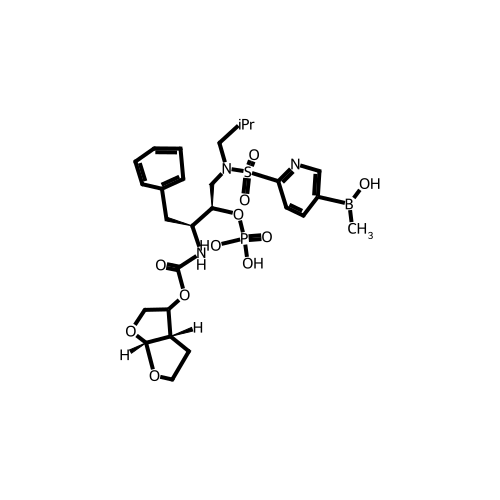 CB(O)c1ccc(S(=O)(=O)N(CC(C)C)C[C@@H](OP(=O)(O)O)[C@H](Cc2ccccc2)NC(=O)OC2CO[C@H]3OCC[C@@H]23)nc1